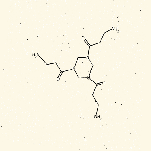 NCCC(=O)N1CN(C(=O)CCN)CN(C(=O)CCN)C1